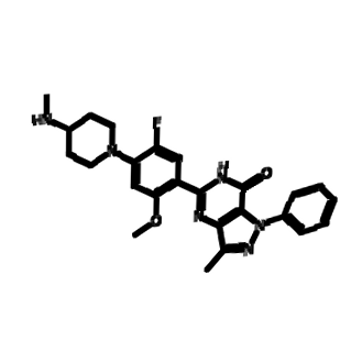 CNC1CCN(c2cc(OC)c(-c3nc4c(C)nn(-c5ccccc5)c4c(=O)[nH]3)cc2F)CC1